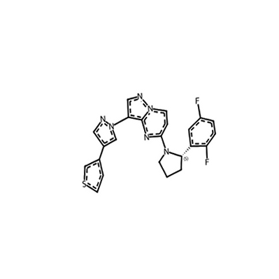 Fc1ccc(F)c([C@@H]2CCCN2c2ccn3ncc(-n4cc(-c5ccsc5)cn4)c3n2)c1